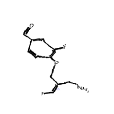 NC/C(=C/F)COc1ccc(C=O)cc1F